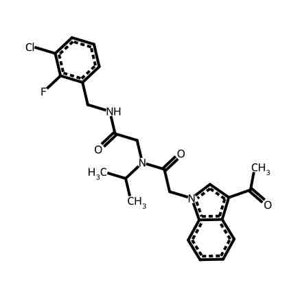 CC(=O)c1cn(CC(=O)N(CC(=O)NCc2cccc(Cl)c2F)C(C)C)c2ccccc12